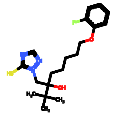 CC(C)(C)C(O)(CCCCCOc1ccccc1F)Cn1ncnc1S